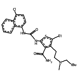 CCc1sc(NC(=O)Nc2ccc(Cl)c3ccccc23)c(C(N)=O)c1CCN(C)CC(C)(C)C